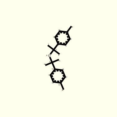 Cc1ccc(C(C)(C)OC(C)(C)c2ccc(C)cc2)cc1